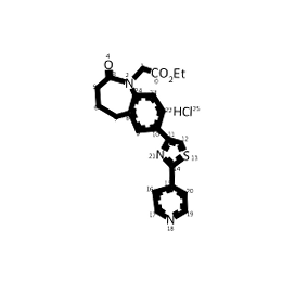 CCOC(=O)CN1C(=O)CCCc2cc(-c3csc(-c4ccncc4)n3)ccc21.Cl